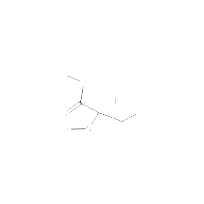 CC(C)C[C@@](S)(NC(C)C)C(=O)OC(C)C